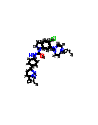 Cc1ccc(-c2ccc(NC(=O)N3CCc4cc(Cl)c(N5CCN(C)CC5)cc43)cc2)nn1